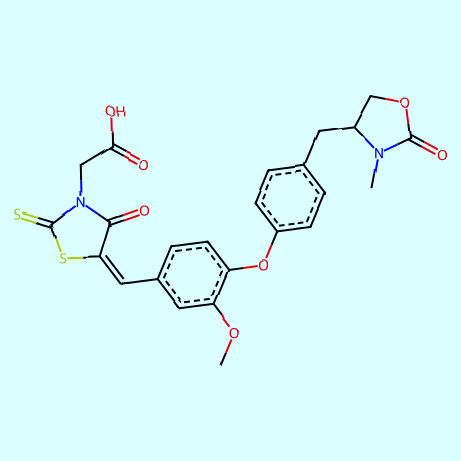 COc1cc(/C=C2/SC(=S)N(CC(=O)O)C2=O)ccc1Oc1ccc(CC2COC(=O)N2C)cc1